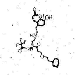 CC(C)N(CCNCCc1ccc(O)c2[nH]c(=O)ccc12)C(=O)CCOCCc1ccccc1.O=C(O)C(F)(F)F